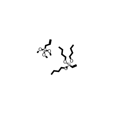 C=CC[Si](OC)(OC)OC.C=C[Si](OCCCC)(OCCCC)OCCCC